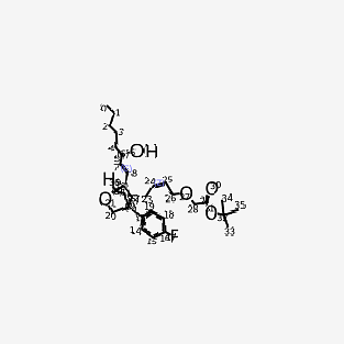 CCCCC[C@H](O)/C=C/[C@@H]1[C@@H]2C[C@@](c3ccc(F)cc3)(CO2)[C@H]1C/C=C\COCC(=O)OC(C)(C)C